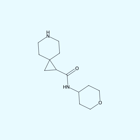 O=C(NC1CCOCC1)C1CC12CCNCC2